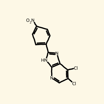 O=[N+]([O-])c1ccc(-c2nc3c(Cl)c(Cl)cnc3[nH]2)cc1